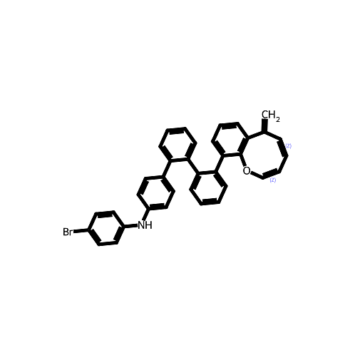 C=C1/C=C\C=C/Oc2c1cccc2-c1ccccc1-c1ccccc1-c1ccc(Nc2ccc(Br)cc2)cc1